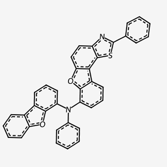 c1ccc(-c2nc3ccc4oc5c(N(c6ccccc6)c6cccc7c6oc6ccccc67)cccc5c4c3s2)cc1